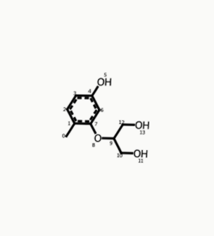 Cc1ccc(O)cc1OC(CO)CO